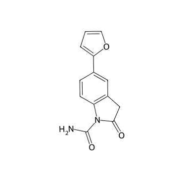 NC(=O)N1C(=O)Cc2cc(-c3ccco3)ccc21